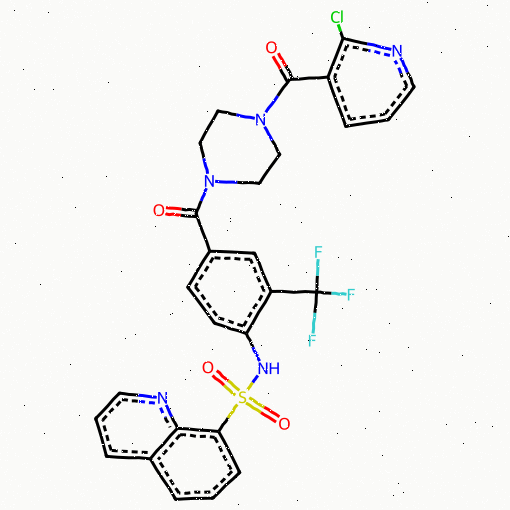 O=C(c1ccc(NS(=O)(=O)c2cccc3cccnc23)c(C(F)(F)F)c1)N1CCN(C(=O)c2cccnc2Cl)CC1